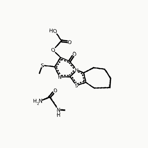 CNC(N)=O.CSc1nc2sc3c(n2c(=O)c1OC(=O)O)CCCCC3